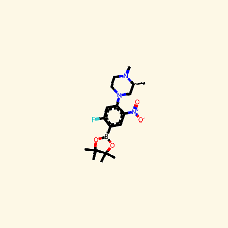 C[C@H]1CN(c2cc(F)c(B3OC(C)(C)C(C)(C)O3)cc2[N+](=O)[O-])CCN1C